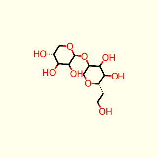 OCC[C@@H]1OC[C@@H](O[C@@H]2OC[C@@H](O)C(O)C2O)C(O)C1O